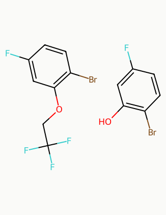 Fc1ccc(Br)c(OCC(F)(F)F)c1.Oc1cc(F)ccc1Br